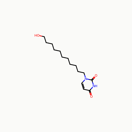 O=c1ccn(CCCCCCCCCCCO)c(=O)[nH]1